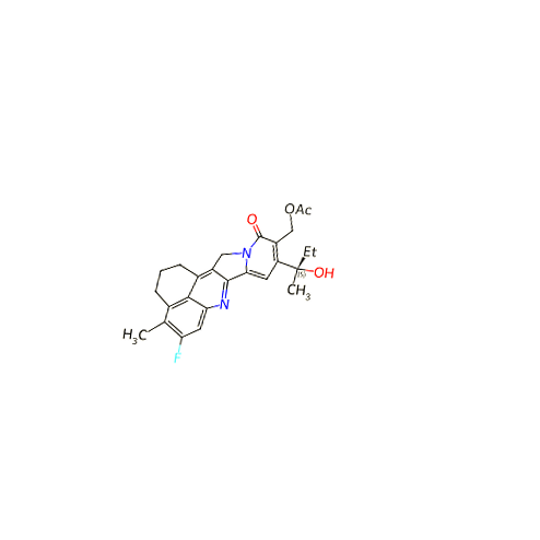 CC[C@](C)(O)c1cc2n(c(=O)c1COC(C)=O)Cc1c-2nc2cc(F)c(C)c3c2c1CCC3